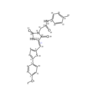 COc1ccc(-c2ccc(/C=C3\NC(=O)N(CC(=O)Nc4ccc(C)cc4)C3=O)s2)cc1